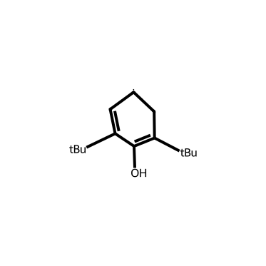 CC(C)(C)C1=C[CH]CC(C(C)(C)C)=C1O